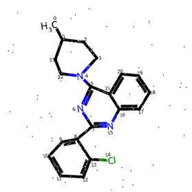 CC1CCN(c2nc(-c3ccccc3Cl)nc3ccccc23)CC1